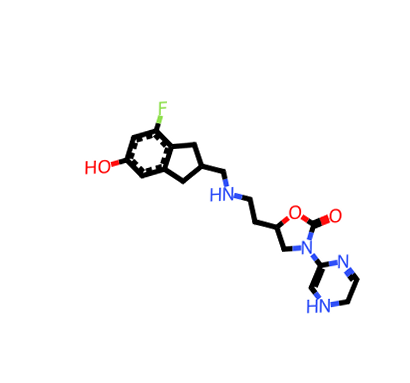 O=C1OC(CCNCC2Cc3cc(O)cc(F)c3C2)CN1C1=CNCC=N1